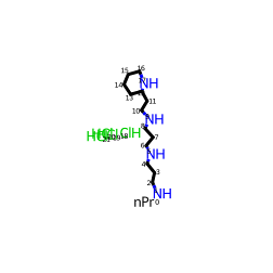 CCCNCCCNCCCNCCC1CCCCN1.Cl.Cl.Cl.Cl